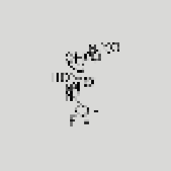 CO[C@@H]1[C@@H](n2cc(-c3cc(F)c(F)c(F)c3)nn2)[C@@H](O)[C@@H](CO)O[C@@H]1Cc1cc(C2(C)COC2)no1